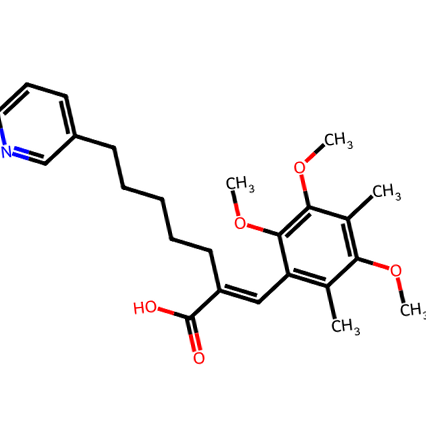 COc1c(C)c(/C=C(\CCCCCc2cccnc2)C(=O)O)c(OC)c(OC)c1C